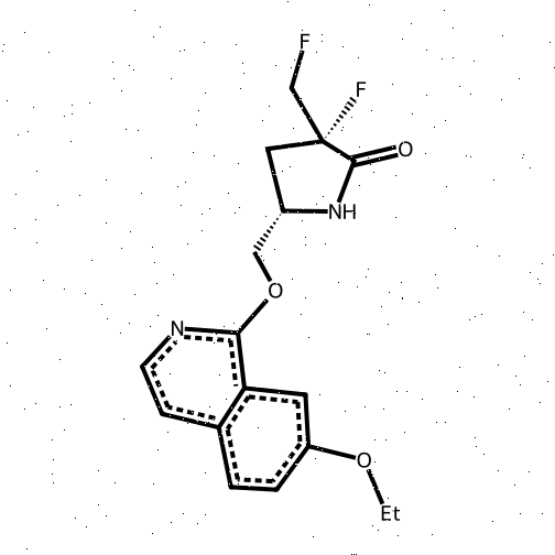 CCOc1ccc2ccnc(OC[C@@H]3C[C@@](F)(CF)C(=O)N3)c2c1